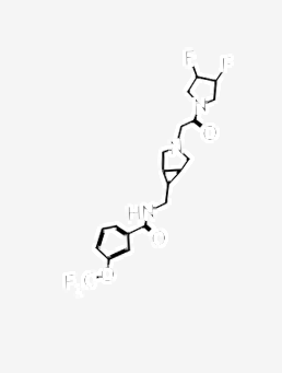 O=C(NCC1C2CN(CC(=O)N3CC(F)C(F)C3)CC12)c1cccc(OC(F)(F)F)c1